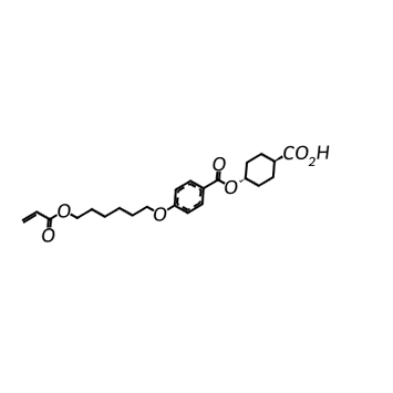 C=CC(=O)OCCCCCCOc1ccc(C(=O)O[C@H]2CC[C@H](C(=O)O)CC2)cc1